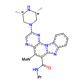 CNc1c(C(=O)NC(C)C)c2nc3ccccc3n2c2nc(N3C[C@@H](C)N[C@@H](C)C3)cnc12